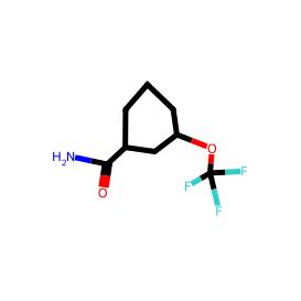 NC(=O)C1CCCC(OC(F)(F)F)C1